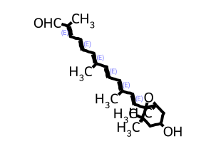 C\C(C=O)=C/C=C/C=C(C)/C=C/C=C(C)/C=C/C12OC1(C)CC(O)CC2(C)C